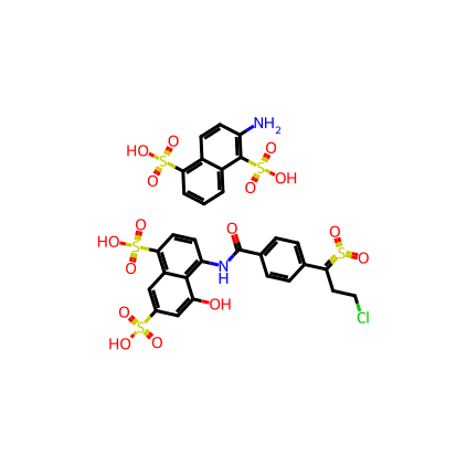 Nc1ccc2c(S(=O)(=O)O)cccc2c1S(=O)(=O)O.O=C(Nc1ccc(S(=O)(=O)O)c2cc(S(=O)(=O)O)cc(O)c12)c1ccc(C(CCCl)=S(=O)=O)cc1